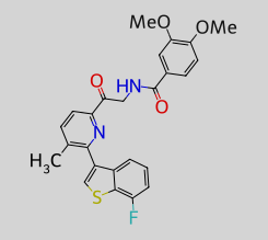 COc1ccc(C(=O)NCC(=O)c2ccc(C)c(-c3csc4c(F)cccc34)n2)cc1OC